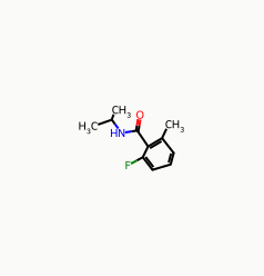 Cc1cccc(F)c1C(=O)NC(C)C